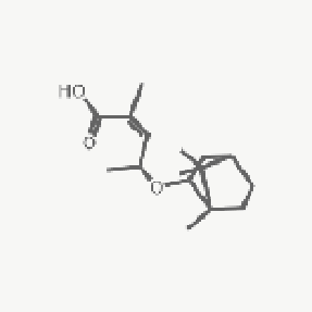 CC(=CC(C)OC1CC2CCC1(C)C2(C)C)C(=O)O